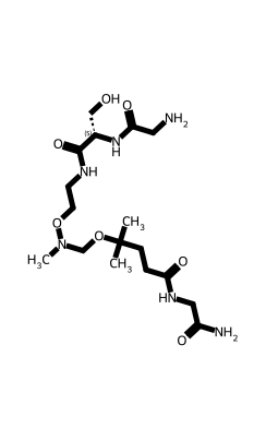 CN(COC(C)(C)CCC(=O)NCC(N)=O)OCCNC(=O)[C@H](CO)NC(=O)CN